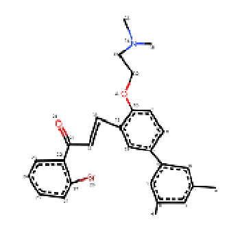 Cc1cc(C)cc(-c2ccc(OCCN(C)C)c(C=CC(=O)c3ccccc3Br)c2)c1